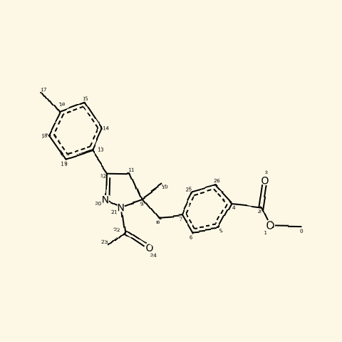 COC(=O)c1ccc(CC2(C)CC(c3ccc(C)cc3)=NN2C(C)=O)cc1